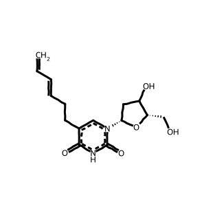 C=CC=CCCc1cn([C@@H]2CC(O)[C@H](CO)O2)c(=O)[nH]c1=O